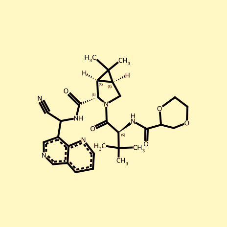 CC(C)(C)[C@H](NC(=O)C1COCCO1)C(=O)N1C[C@H]2[C@@H]([C@H]1C(=O)NC(C#N)c1cncc3cccnc13)C2(C)C